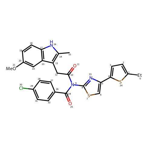 CCc1ccc(-c2csc(N(C(=O)Cc3c(C)[nH]c4ccc(OC)cc34)C(=O)c3ccc(Cl)cc3)n2)s1